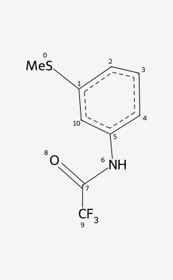 CSc1cccc(NC(=O)C(F)(F)F)c1